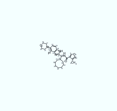 Cc1nocc1C(=O)NC(c1nc2c(F)c(N3CCOCC3)ccc2[nH]1)C1CCCCCCC1